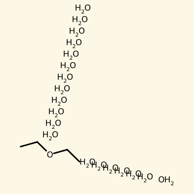 CCOCC.O.O.O.O.O.O.O.O.O.O.O.O.O.O.O.O.O.O.O